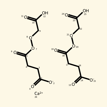 O=C([O-])CCC(=O)OOCC(=O)O.O=C([O-])CCC(=O)OOCC(=O)O.[Ca+2]